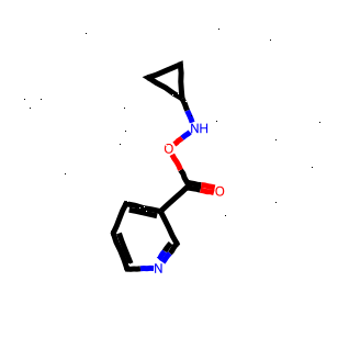 O=C(ONC1CC1)c1cccnc1